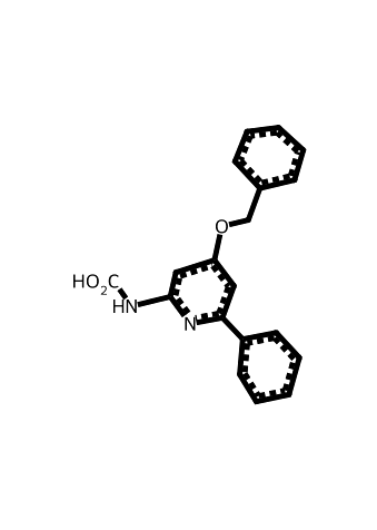 O=C(O)Nc1cc(OCc2ccccc2)cc(-c2ccccc2)n1